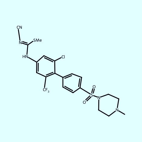 CS/C(=N\C#N)Nc1cc(Cl)c(-c2ccc(S(=O)(=O)N3CCN(C)CC3)cc2)c(C(F)(F)F)c1